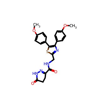 COc1ccc(-c2nc(CNC(=O)C3=NNC(=O)CC3)sc2-c2ccc(OC)cc2)cc1